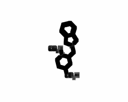 O=C(O)C1CCN(C(=O)O)C(CN2Cc3ccccc3C2)C1